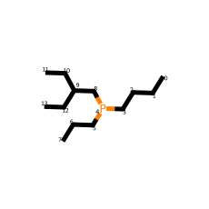 CCCCP(CCC)CC(CC)CC